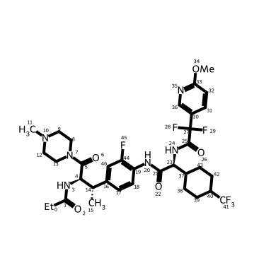 CCC(=O)N[C@@H](C(=O)N1CCN(C)CC1)[C@@H](C)c1ccc(NC(=O)[C@@H](NC(=O)C(F)(F)c2ccc(OC)nc2)C2CCC(C(F)(F)F)CC2)c(F)c1